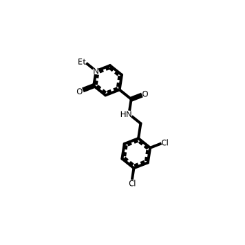 CCn1ccc(C(=O)NCc2ccc(Cl)cc2Cl)cc1=O